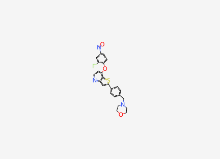 O=Nc1ccc(Oc2ccnc3cc(-c4ccc(CN5CCOCC5)cc4)sc23)c(F)c1